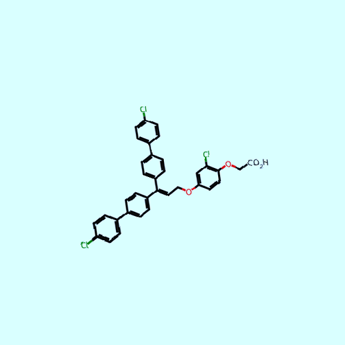 O=C(O)COc1ccc(OCC=C(c2ccc(-c3ccc(Cl)cc3)cc2)c2ccc(-c3ccc(Cl)cc3)cc2)cc1Cl